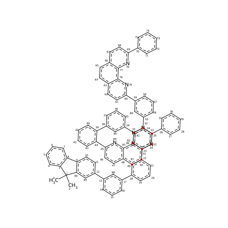 CC1(C)c2ccccc2-c2ccc(-c3cccc(-c4cccc(-c5nc(-c6ccccc6)nc(-c6cccc(-c7ccccc7-c7ccc8ccc9ccc(-c%10cccc(-c%11ccc%12ccc%13ccc(-c%14ccccc%14)nc%13c%12n%11)c%10)nc9c8n7)c6)n5)c4)c3)cc21